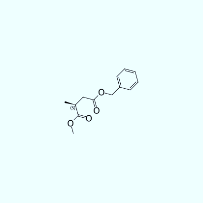 COC(=O)[C@@H](C)CC(=O)OCc1ccccc1